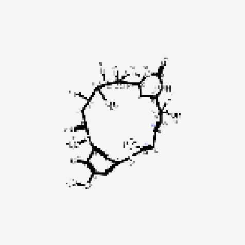 COc1cc2cc(c1Cl)N(C)C(=O)C[C@H]1O[C@H](C1C)[C@H](C)[C@@H]1C[C@@](O)(NC(=O)O1)[C@H](O)/C=C/C=C(\C)C2